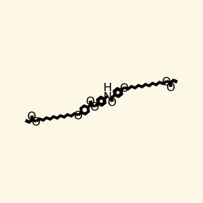 C=CC(=O)OCCCCCCCCCCCOc1ccc(C(=O)Nc2ccc(OC(=O)C3CCC(OCCCCCCCCCCCOC(=O)C=C)CC3)cc2)cc1